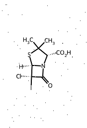 CC1(C)S[C@H]2N(C(=O)[C@@]2(Cl)I)[C@H]1C(=O)O